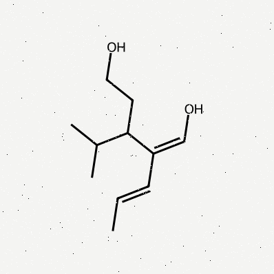 C/C=C/C(=C/O)C(CCO)C(C)C